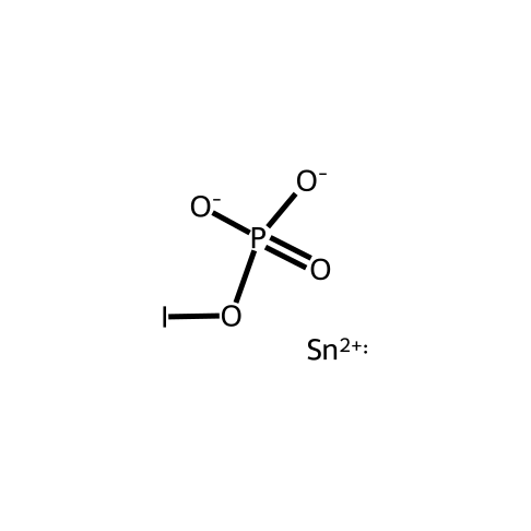 O=P([O-])([O-])OI.[Sn+2]